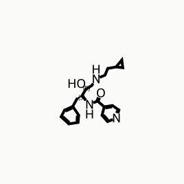 O=C(N[C@@H](Cc1ccccc1)[C@H](O)CNCCC1CC1)c1ccncc1